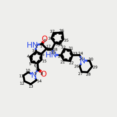 O=C1Nc2ccc(C(=O)N3CCCCC3)cc2C1=C(Nc1ccc(CN2CCCCC2)cc1)c1ccccc1